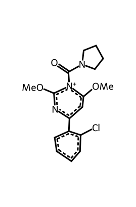 COc1cc(-c2ccccc2Cl)nc(OC)[n+]1C(=O)N1CCCC1